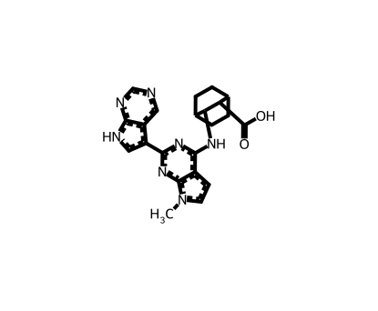 Cn1ccc2c(NC3C4CCC(CC4)C3C(=O)O)nc(-c3c[nH]c4ncncc34)nc21